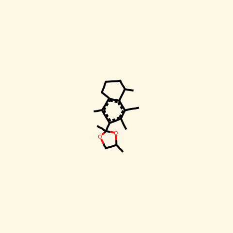 Cc1c(C)c(C2(C)OCC(C)O2)c(C)c2c1C(C)CCC2